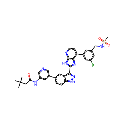 CC(C)(C)CC(=O)Nc1cncc(-c2ccc3[nH]nc(-c4nc5c(-c6cc(F)cc(CNS(C)(=O)=O)c6)ccnc5[nH]4)c3c2)c1